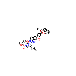 CC(C)[C@@H](C(=O)N1C[C@@H](C)C[C@H]1c1nc2ccc3cc4c(cc3c2[nH]1)OCc1cc(B2OC(C)(C)C(C)(C)O2)ccc1-4)N(C)C(=O)O